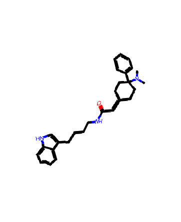 CN(C)C1(c2ccccc2)CCC(=CC(=O)NCCCCc2c[nH]c3ccccc23)CC1